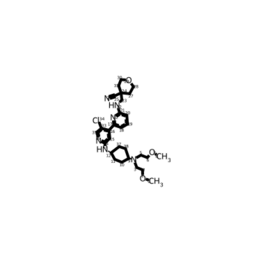 COCCN(CCOC)[C@H]1CC[C@H](Nc2cc(-c3cccc(NCC4(C#N)CCOCC4)n3)c(Cl)cn2)CC1